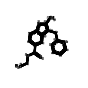 CCOC(=O)c1ccc2nc(C)n(Cc3ccccn3)c2c1